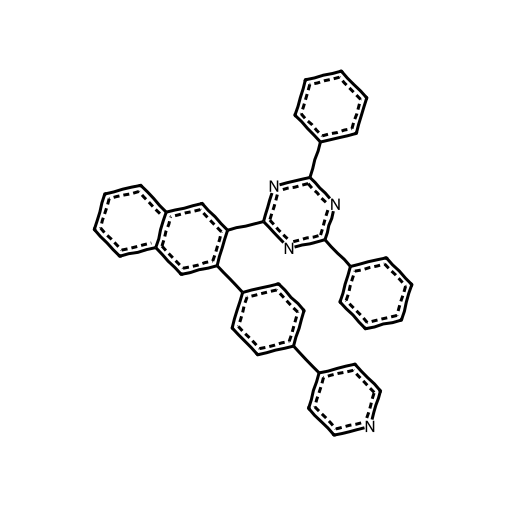 c1ccc(-c2nc(-c3ccccc3)nc(-c3cc4ccccc4cc3-c3ccc(-c4ccncc4)cc3)n2)cc1